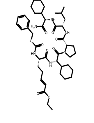 CCOC(=O)/C=C/CC[C@H](NC(=O)OCc1ccccc1)C(=O)N[C@H](C(=O)N1CCC[C@H]1C(=O)N[C@@H](CC(C)C)C(=O)N[C@H](C(N)=O)C1CCCCC1)C1CCCCC1